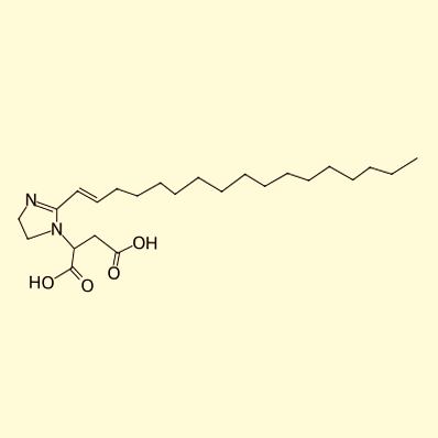 CCCCCCCCCCCCCCCC=CC1=NCCN1C(CC(=O)O)C(=O)O